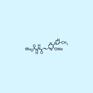 COc1nc(/C=C/C(=O)NNC(=O)OC(C)(C)C)cnc1-n1cnc(C)c1